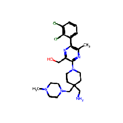 Cc1nc(N2CCC(CN)(CN3CCN(C)CC3)CC2)c(CO)nc1-c1cccc(Cl)c1Cl